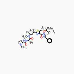 COC(=O)[C@@H](C)C[C@H](Cc1ccccc1)NC(=O)c1nc([C@@H](C[C@H](C(C)C)N(C)C(=O)[C@@H](NC(=O)[C@H]2CCCN2C)C(C)C)OC(C)=O)sc1C